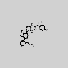 COc1ncccc1-c1ccc(N2CC[C@@H](NC(=O)Nc3ccc(Cl)cc3F)C2=O)c(F)c1F